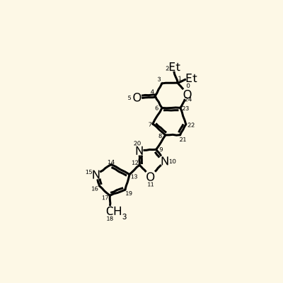 CCC1(CC)CC(=O)c2cc(-c3noc(-c4cncc(C)c4)n3)ccc2O1